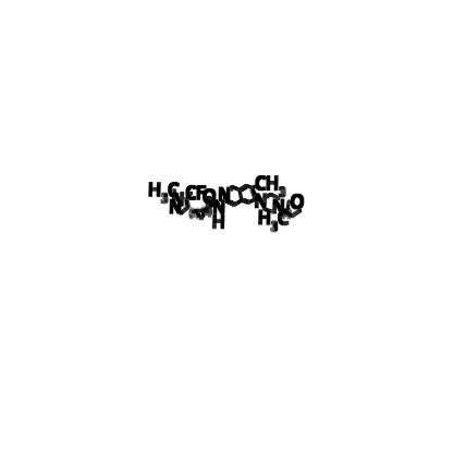 Cc1cc2cnc(NC(=O)[C@H]3C[C@@H]3c3cnn(C)c3C(F)(F)F)cc2cc1N1CCN([C@]2(C)CCOC2)CC1